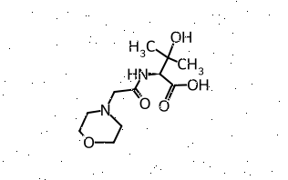 CC(C)(O)[C@H](NC(=O)CN1CCOCC1)C(=O)O